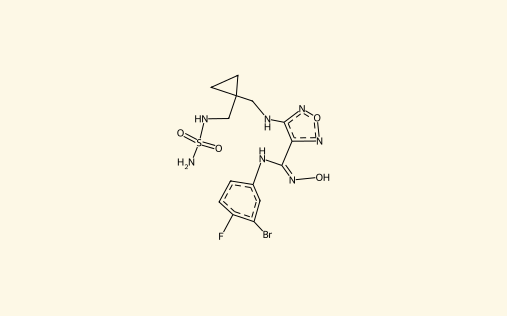 NS(=O)(=O)NCC1(CNc2nonc2C(=NO)Nc2ccc(F)c(Br)c2)CC1